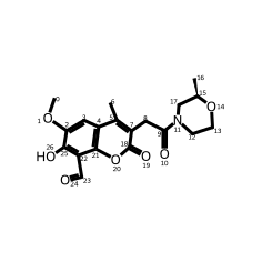 COc1cc2c(C)c(CC(=O)N3CCO[C@H](C)C3)c(=O)oc2c(C=O)c1O